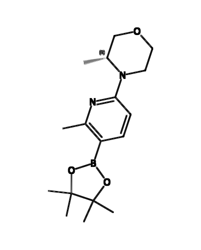 Cc1nc(N2CCOC[C@H]2C)ccc1B1OC(C)(C)C(C)(C)O1